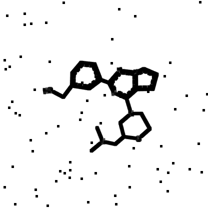 CN(C)CC1CN(c2nc(-c3cccc(CO)c3)nn3cccc23)CCO1